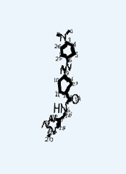 CN(C)c1ccc(N=Nc2ccc(C(=O)NCc3cn(C)nn3)cc2)cc1